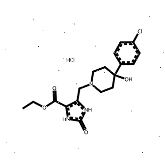 CCOC(=O)c1[nH]c(=O)[nH]c1CN1CCC(O)(c2ccc(Cl)cc2)CC1.Cl